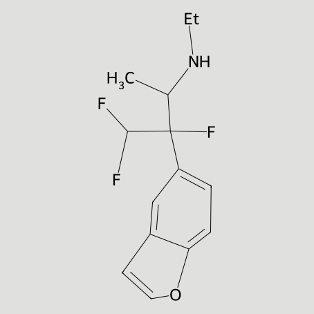 CCNC(C)C(F)(c1ccc2occc2c1)C(F)F